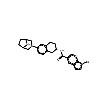 CCn1ccc2cc(C(=O)N[C@H]3CCc4cc(N5CC6CCC(C5)N6)ccc4C3)cnc21